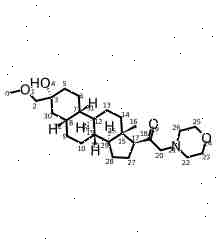 COC[C@@]1(O)CC[C@H]2[C@H](CC[C@@H]3[C@@H]2CC[C@]2(C)[C@@H](C(=O)CN4CCOCC4)CC[C@@H]32)C1